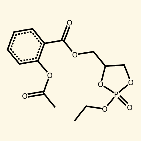 CCOP1(=O)OCC(COC(=O)c2ccccc2OC(C)=O)O1